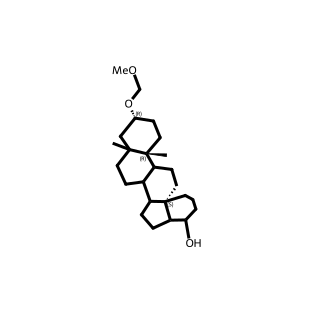 COCO[C@@H]1CC[C@]2(C)C3CC[C@]45CCCC(O)C4CCC5C3CCC2(C)C1